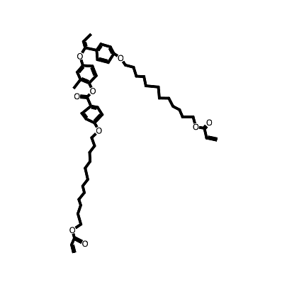 C=CC(=O)OCCCCCCCCCCCCOc1ccc(C(=O)Oc2ccc(OC(=CC)c3ccc(OCCCCCCCCCCCCOC(=O)C=C)cc3)cc2C)cc1